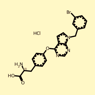 Cl.N[C@@H](Cc1ccc(Oc2ncnc3c2ccn3Cc2cccc(Br)c2)cc1)C(=O)O